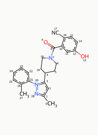 Cc1cc(C2CCN(C(=O)c3cc(O)ccc3C#N)CC2)n(-c2ccccc2C)n1